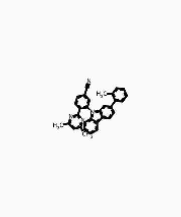 Cc1cc(C)nc(-c2ccc(C#N)cc2-n2c3ccccc3c3ccc(-c4ccccc4C)cc32)n1